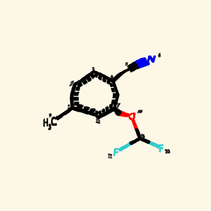 Cc1ccc(C#N)c(OC(F)F)c1